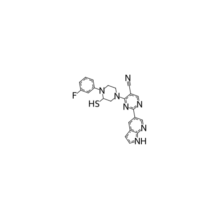 N#Cc1cnc(-c2cnc3[nH]ccc3c2)nc1N1CCN(c2cccc(F)c2)C(S)C1